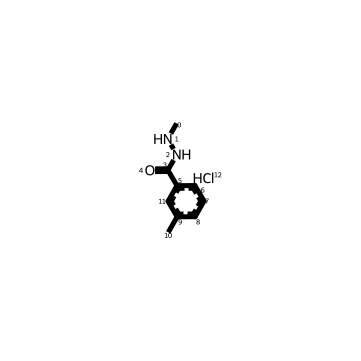 CNNC(=O)c1cccc(C)c1.Cl